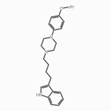 CCCOc1ccc(N2CCN(CCCCc3c[nH]c4ccccc34)CC2)cc1